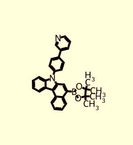 CC1(C)OB(c2cc3c(c4ccccc24)c2ccccc2n3-c2ccc(-c3cccnc3)cc2)OC1(C)C